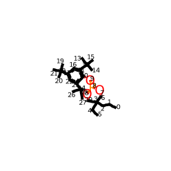 CCCC1(CC)COP(Oc2c(C(C)(C)C)cc(C(C)(C)C)cc2C(C)(C)C)OC1